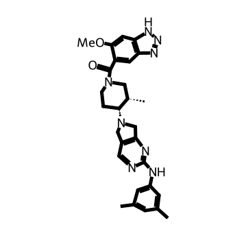 COc1cc2[nH]nnc2cc1C(=O)N1CC[C@@H](N2Cc3cnc(Nc4cc(C)cc(C)c4)nc3C2)[C@@H](C)C1